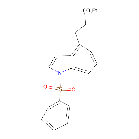 CCOC(=O)CCc1cccc2c1ccn2S(=O)(=O)c1ccccc1